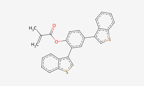 C=C(C)C(=O)Oc1ccc(-c2csc3ccccc23)cc1-c1csc2ccccc12